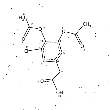 CC(=O)Oc1cc(CC(=O)O)cc(Cl)c1OC(C)=O